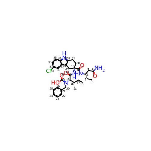 CC[C@@H](CC(N)=O)NC(=O)[C@@]1(NC(=O)[C@H]([C@@H](C)CC)N(Cc2ccccc2)C(=O)O)CCc2[nH]c3ccc(Cl)cc3c2C1